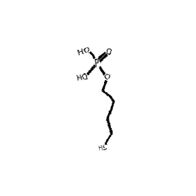 O=P(O)(O)OCCCCS